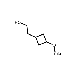 CCCCOC1CC(CCO)C1